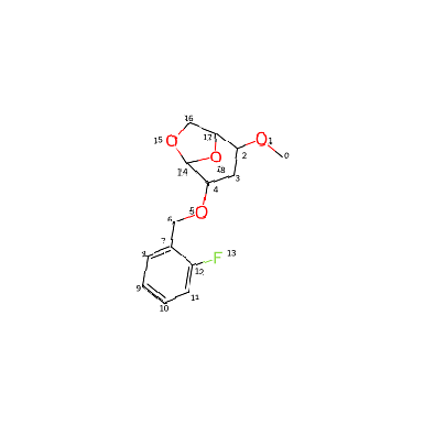 COC1CC(OCc2ccccc2F)C2OCC1O2